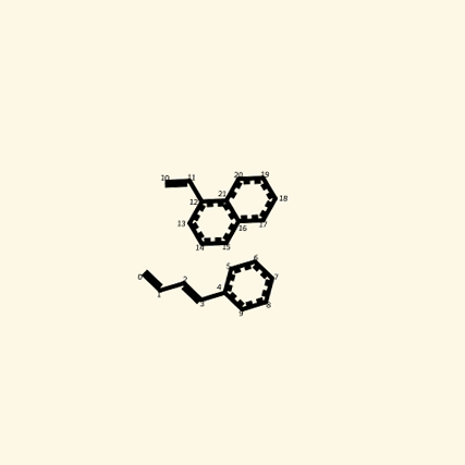 C=CC=Cc1ccccc1.C=Cc1cccc2ccccc12